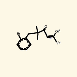 CC(C)/C(O)=C/C(=O)C(C)(C)Cc1ccccc1Br